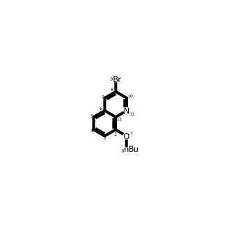 CCCCOc1cccc2cc(Br)cnc12